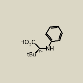 CC(C)(C)[C@H](Nc1ccccc1)C(=O)O